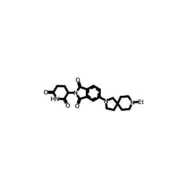 CCN1CCC2(CC1)CCN(c1ccc3c(c1)C(=O)N(C1CCC(=O)NC1=O)C3=O)C2